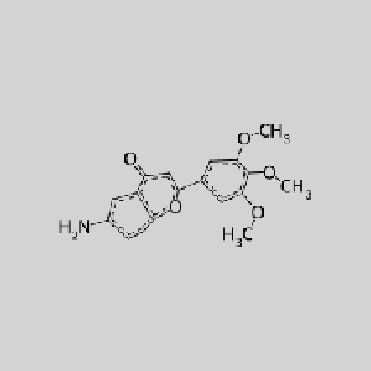 COc1cc(-c2cc(=O)c3cc(N)ccc3o2)cc(OC)c1OC